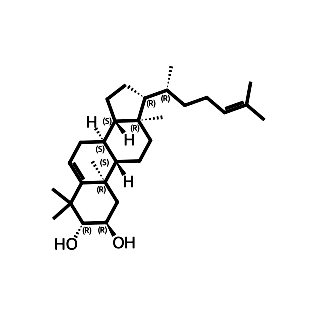 CC(C)=CCC[C@@H](C)[C@H]1CC[C@H]2[C@@H]3CC=C4C(C)(C)[C@@H](O)[C@H](O)C[C@]4(C)[C@H]3CC[C@]12C